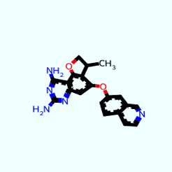 CC1COc2c1c(Oc1ccc3ccncc3c1)cc1nc(N)nc(N)c21